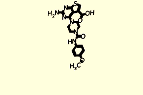 COc1ccc(NC(=O)N2CCN(c3nc(N)nc4scc(C(=O)O)c34)CC2)cc1